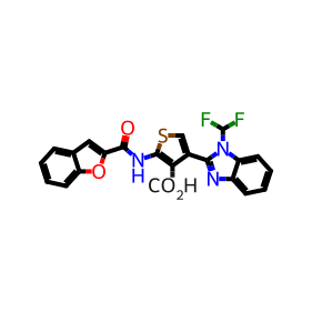 O=C(Nc1scc(-c2nc3ccccc3n2C(F)F)c1C(=O)O)c1cc2ccccc2o1